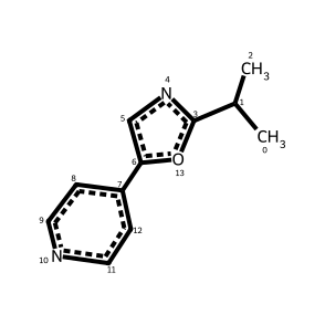 CC(C)c1ncc(-c2ccncc2)o1